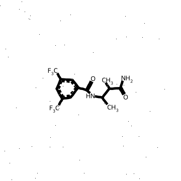 CC(NC(=O)c1cc(C(F)(F)F)cc(C(F)(F)F)c1)C(C)C(N)=O